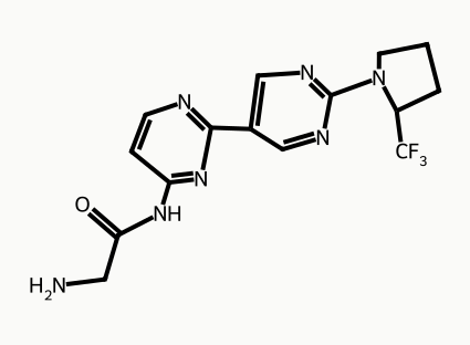 NCC(=O)Nc1ccnc(-c2cnc(N3CCCC3C(F)(F)F)nc2)n1